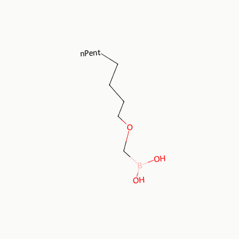 CCCCCCCCCOCB(O)O